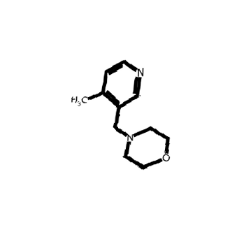 Cc1ccn[c]c1CN1CCOCC1